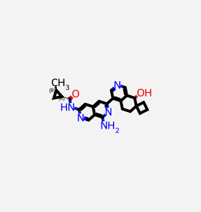 C[C@@H]1C[C@H]1C(=O)Nc1cc2cc(-c3cncc4c3CCC3(CCC3)C4O)nc(N)c2cn1